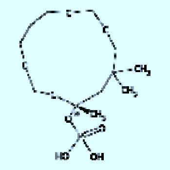 CC1(C)CCCCCCCCCC[C@@](C)(OP(=O)(O)O)C1